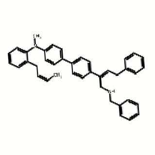 C/C=C\Cc1ccccc1N(C)c1ccc(-c2ccc(/C(=C/Cc3ccccc3)CNCc3ccccc3)cc2)cc1